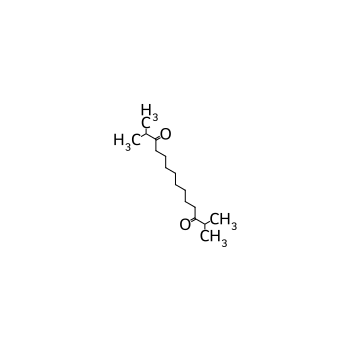 CC(C)C(=O)CCCCCCCCC(=O)C(C)C